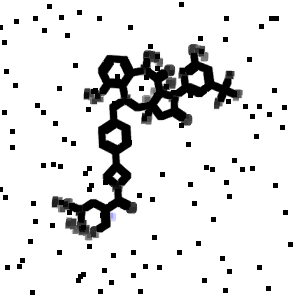 C/C=C(\CN(C)C)C(=O)N1CC(c2ccc(CN3C[C@H]4CC(=O)N(c5cc(C(F)(F)F)cc(C)n5)[C@@H]4C(=O)N(C)c4cccc(C)c43)cc2)C1